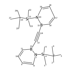 CC(C)(C)[Si](C)(C)N1C=CC=CB1C#CB1C=CC=CN1[Si](C)(C)C(C)(C)C